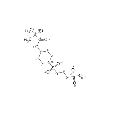 CCC(C)(C)C(=O)OC1CCN(S(=O)(=O)CCCS(C)(=O)=O)CC1